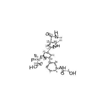 O=C(CO)Nc1cccc(-c2cc(-c3cc4c([nH]3)CCNC4=O)ccn2)c1.O=C(O)C(F)(F)F